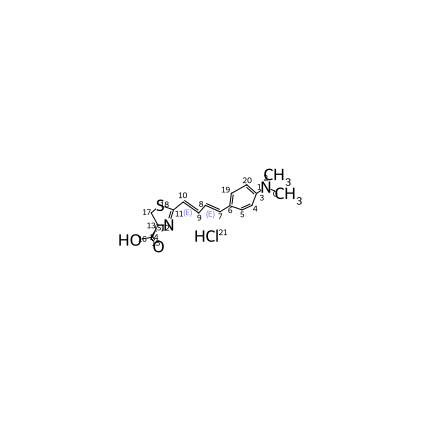 CN(C)c1ccc(/C=C/C=C/C2=N[C@@H](C(=O)O)CS2)cc1.Cl